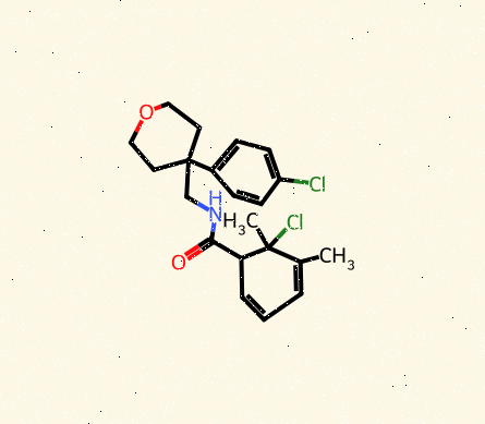 CC1=CC=CC(C(=O)NCC2(c3ccc(Cl)cc3)CCOCC2)C1(C)Cl